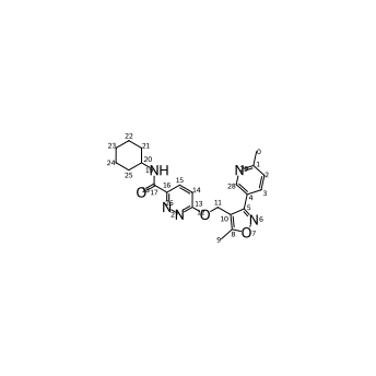 Cc1ccc(-c2noc(C)c2COc2ccc(C(=O)NC3CCCCC3)nn2)cn1